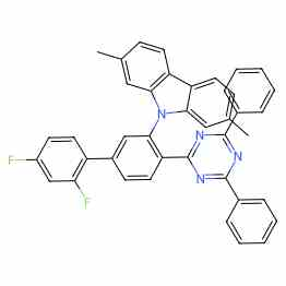 Cc1ccc2c3ccc(C)cc3n(-c3cc(-c4ccc(F)cc4F)ccc3-c3nc(-c4ccccc4)nc(-c4ccccc4)n3)c2c1